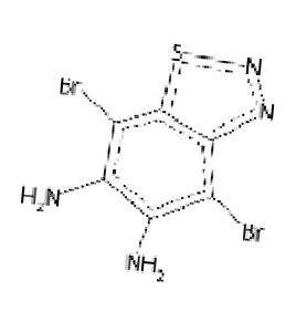 Nc1c(N)c(Br)c2snnc2c1Br